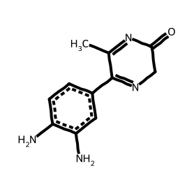 CC1=NC(=O)CN=C1c1ccc(N)c(N)c1